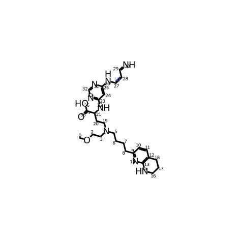 COCCN(CCCCc1ccc2c(n1)NCCC2)CCC(Nc1cc(N/C=C\C=N)ncn1)C(=O)O